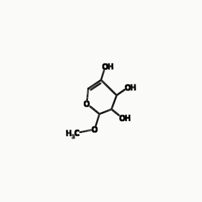 COC1OC=C(O)C(O)C1O